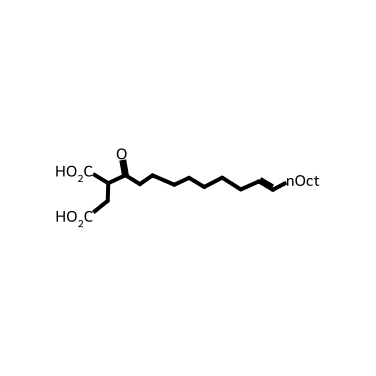 CCCCCCCCC=CCCCCCCCC(=O)C(CC(=O)O)C(=O)O